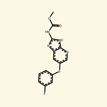 COC(=O)Nc1nc2cc(Sc3cccc(F)c3)cnc2[nH]1